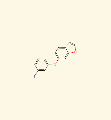 Ic1cccc(Oc2ccc3ccoc3c2)c1